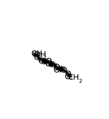 C=CC(=O)OCCCOc1ccc(C(=O)OCCc2ccc(OC(=O)c3ccc(OCCCOC(O)C=C)cc3)cc2)cc1